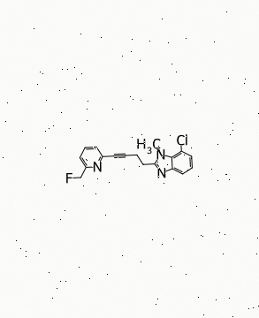 Cn1c(CCC#Cc2cccc(CF)n2)nc2cccc(Cl)c21